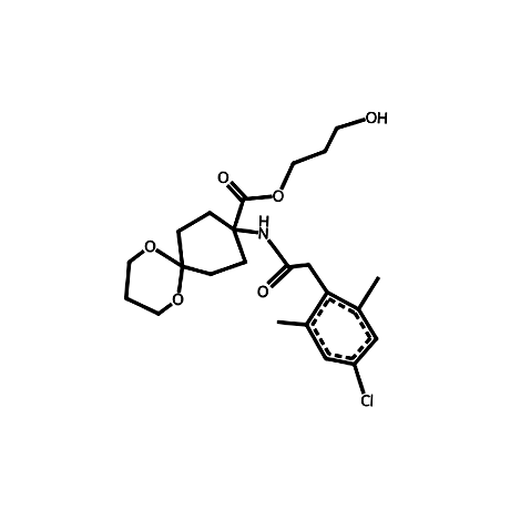 Cc1cc(Cl)cc(C)c1CC(=O)NC1(C(=O)OCCCO)CCC2(CC1)OCCCO2